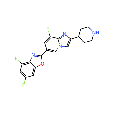 Fc1cc(F)c2nc(-c3cc(F)c4nc(C5CCNCC5)cn4c3)oc2c1